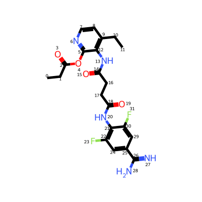 CCC(=O)Oc1nccc(CC)c1NC(=O)CCC(=O)Nc1c(F)cc(C(=N)N)cc1F